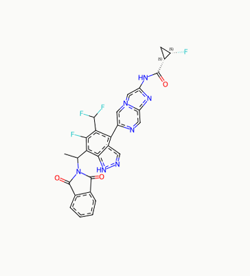 CC(c1c(F)c(C(F)F)c(-c2cn3cc(NC(=O)[C@@H]4C[C@@H]4F)nc3cn2)c2cn[nH]c12)N1C(=O)c2ccccc2C1=O